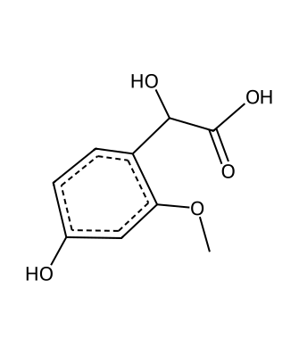 COc1cc(O)ccc1C(O)C(=O)O